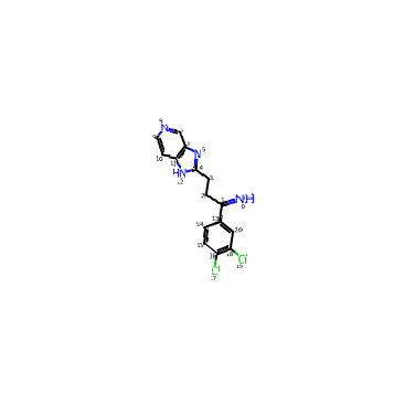 N=C(CCc1nc2cnccc2[nH]1)c1ccc(Cl)c(Cl)c1